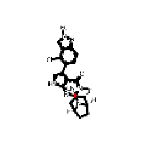 CCn1cc2c(Cl)c(-c3c[nH]c4nc(N5[C@H]6CC[C@@H]5[C@@H](F)[C@@H](N)C6)n(C)c(=O)c34)ccc2n1